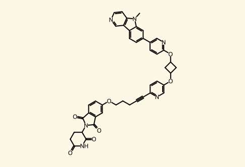 Cn1c2ccncc2c2ccc(-c3ccc(OC4CC(Oc5ccc(C#CCCCOc6ccc7c(c6)C(=O)N(C6CCC(=O)NC6=O)C7=O)nc5)C4)nc3)cc21